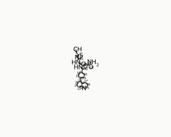 C#Cc1nc(NC(=O)NC(COC(N)=O)c2ccc(-c3cccc4ncccc34)cc2)cs1